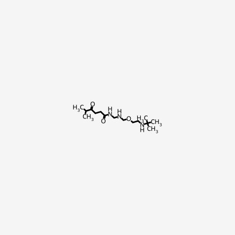 CC(C)C(=O)CCC(=O)NCNCOCCNC(C)(C)C